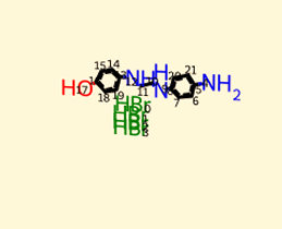 Br.Br.Br.Br.Nc1ccc(NCCNc2ccc(O)cc2)cc1